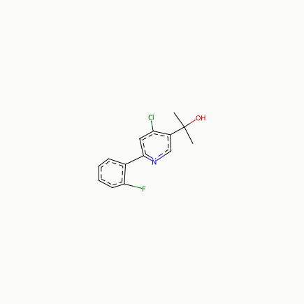 CC(C)(O)c1cnc(-c2ccccc2F)cc1Cl